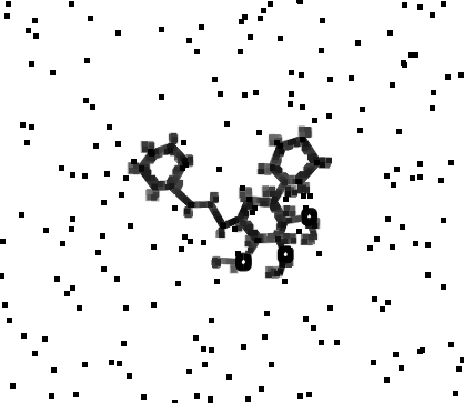 COc1c(CCCc2ccccc2)[c]c(-c2ccccc2)c(OC)c1OC